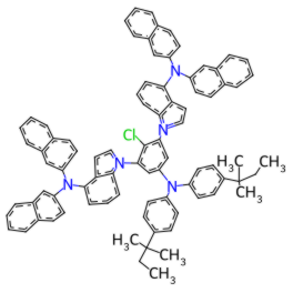 CCC(C)(C)c1ccc(N(c2ccc(C(C)(C)CC)cc2)c2cc(-n3ccc4c(N(c5ccc6ccccc6c5)c5ccc6ccccc6c5)cccc43)c(Cl)c(-n3ccc4c(N(c5ccc6ccccc6c5)c5ccc6ccccc6c5)cccc43)c2)cc1